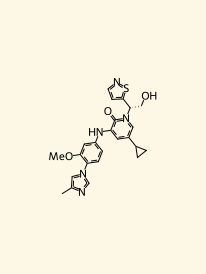 COc1cc(Nc2cc(C3CC3)cn([C@@H](CO)c3ccns3)c2=O)ccc1-n1cnc(C)c1